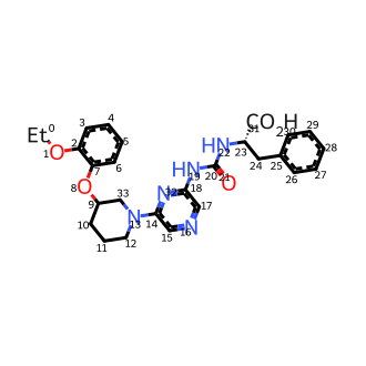 CCOc1ccccc1OC1CCCN(c2cncc(NC(=O)N[C@@H](Cc3ccccc3)C(=O)O)n2)C1